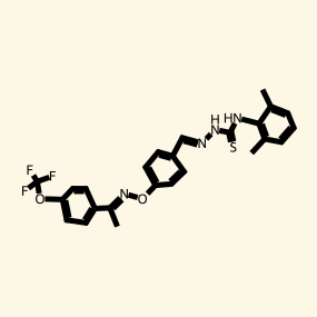 C/C(=N\Oc1ccc(/C=N/NC(=S)Nc2c(C)cccc2C)cc1)c1ccc(OC(F)(F)F)cc1